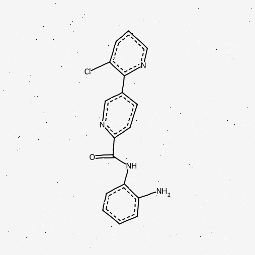 Nc1ccccc1NC(=O)c1ccc(-c2ncccc2Cl)cn1